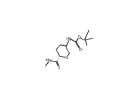 CNC(=S)[C@@H]1CCC(NC(=O)OC(C)(C)C)CO1